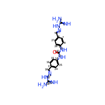 N=C(N)N/N=C/c1ccc(NC(=O)Nc2ccc(/C=N/NC(=N)N)cc2)cc1